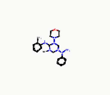 Cc1ccccc1NC1N(C#N)CN(N(N)c2ccccc2)CN1N1CCOCC1